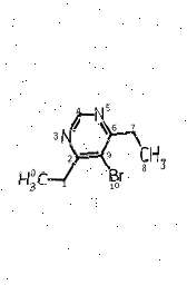 CCc1ncnc(CC)c1Br